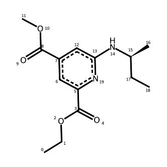 CCOC(=O)c1cc(C(=O)OC)cc(N[C@@H](C)CC)n1